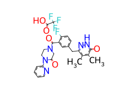 Cc1c(Cc2ccc(F)c(C(=O)N3CCN(c4ccccn4)C(=O)C3)c2)n[nH]c(=O)c1C.O=C(O)C(F)(F)F